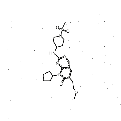 COCCc1cc2cnc(NC3CCN(S(C)(=O)=O)CC3)nc2n(C2CCCC2)c1=O